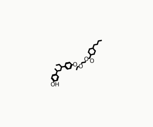 CCCCC1CCC(C(=O)OCCOC(C)Oc2ccc(C(CC)CC(C)c3ccc(O)cc3)cc2)CC1